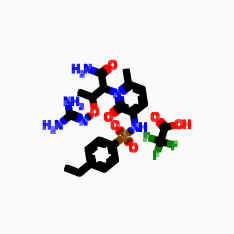 CCc1ccc(S(=O)(=O)Nc2ccc(C)n(C(C(N)=O)C(C)ON=C(N)N)c2=O)cc1.O=C(O)C(F)(F)F